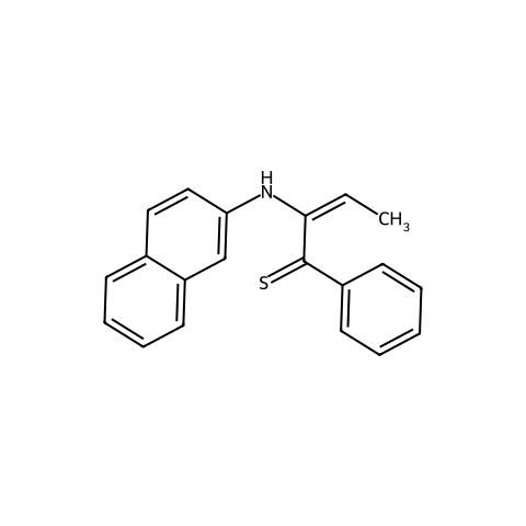 CC=C(Nc1ccc2ccccc2c1)C(=S)c1ccccc1